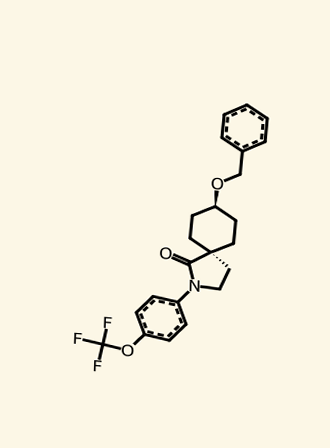 O=C1N(c2ccc(OC(F)(F)F)cc2)CC[C@]12CC[C@H](OCc1ccccc1)CC2